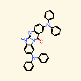 Cn1c2ccc(N(c3ccccc3)c3ccccc3)cc2n2c(=O)c3cc(N(c4ccccc4)c4ccccc4)ccc3nc12